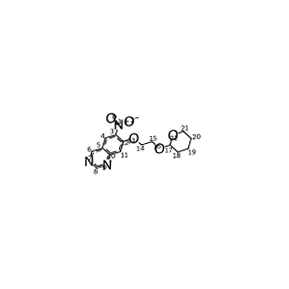 O=[N+]([O-])c1cc2cncnc2cc1OCCOC1CCCCO1